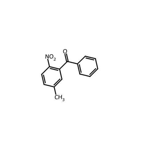 Cc1ccc([N+](=O)[O-])c(C(=O)c2ccccc2)c1